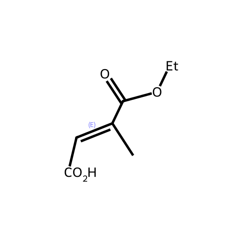 CCOC(=O)/C(C)=C/C(=O)O